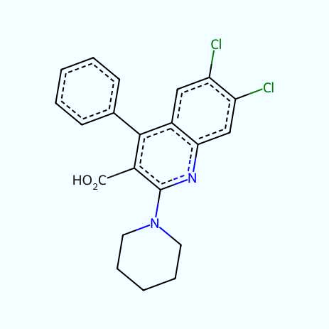 O=C(O)c1c(N2CCCCC2)nc2cc(Cl)c(Cl)cc2c1-c1ccccc1